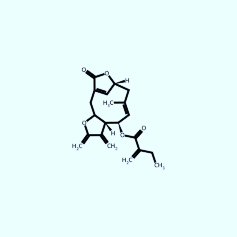 C=C(CC)C(=O)O[C@@H]1/C=C(\C)C[C@@H]2C=C(CC3OC(=C)C(=C)[C@H]31)C(=O)O2